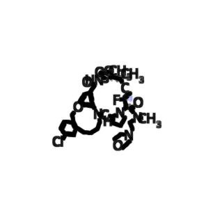 C[C@@H]1[C@@H](C)C/C=C(\F)[C@H](C(=O)N(C)CCN2CCOCC2)N2CCC[C@H]2CN2CCCCc3cc(Cl)ccc3COc3ccc(cc32)C(=O)NS1(=O)=O